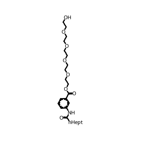 CCCCCCCC(=O)Nc1cccc(C(=O)OCCOCCOCCOCCOCCO)c1